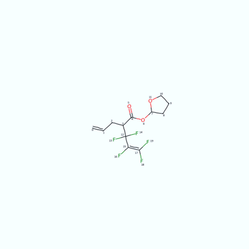 C=CCC(C(=O)OC1CCCO1)C(F)(F)C(F)=C(F)F